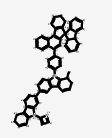 CC1CC=Cc2c1n(-c1ccc(-c3cc4c(c5ccccc35)C3=C(CCC=C3)C43c4ccccc4C4C=CC=CC43)cc1)c1ccc(-c3ccc4c5c(n(C6=CC=N6)c4c3)C=CCC5)cc21